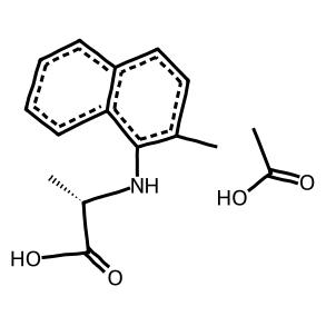 CC(=O)O.Cc1ccc2ccccc2c1N[C@@H](C)C(=O)O